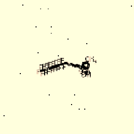 Cc1ccc(S(=O)(=O)O)c(CCCCCCC(F)(F)C(F)(F)C(F)(F)C(F)(F)C(F)(F)C(F)(F)C(F)(F)C(F)(F)F)c1